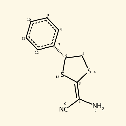 N#C/C(N)=C1/SC[C@@H](c2ccccc2)S1